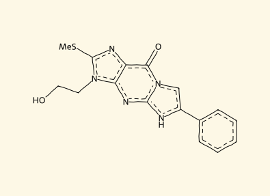 CSc1nc2c(=O)n3cc(-c4ccccc4)[nH]c3nc2n1CCO